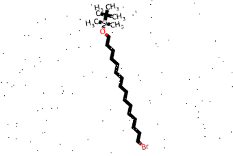 CC(C)(C)[Si](C)(C)OCCCCCCCCCCCCCCCCBr